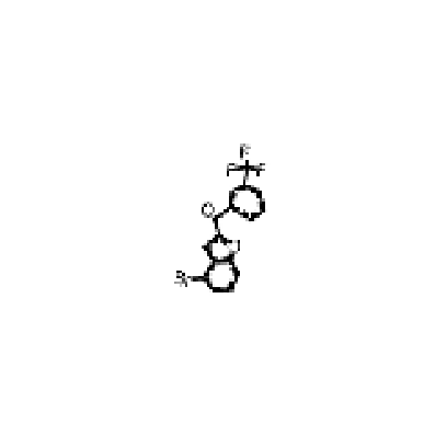 O=C(c1cccc(C(F)(F)F)c1)c1cc2c(Br)cccc2o1